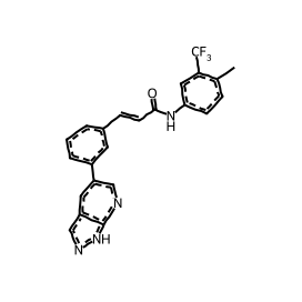 Cc1ccc(NC(=O)C=Cc2cccc(-c3cnc4[nH]ncc4c3)c2)cc1C(F)(F)F